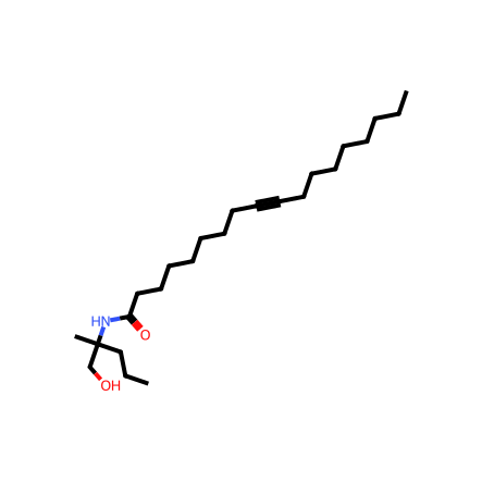 CCCCCCCCC#CCCCCCCCC(=O)NC(C)(CO)CCC